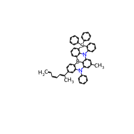 C=C/C=C\C=C(/C)c1ccc2c(c1)N(c1ccccc1)c1cc(C)cc3c1B2c1cccc2c1N3c1ccccc1[Si]2(c1ccccc1)c1ccccc1